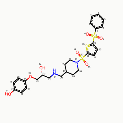 O=S(=O)(c1ccccc1)c1ccc(S(=O)(=O)N2CCC(CNC[C@@H](O)COc3ccc(O)cc3)CC2)s1